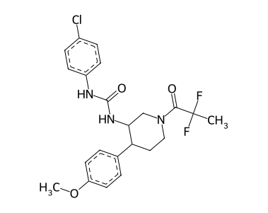 COc1ccc(C2CCN(C(=O)C(C)(F)F)CC2NC(=O)Nc2ccc(Cl)cc2)cc1